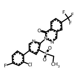 CCS(=O)(=O)c1cc(-c2ccc(F)cc2Cl)cnc1-n1ncc2cc(C(F)(F)F)ccc2c1=O